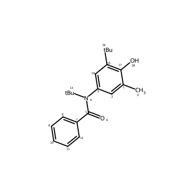 Cc1cc(N(C(=O)c2ccccc2)C(C)(C)C)cc(C(C)(C)C)c1O